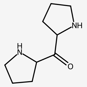 O=C(C1CCCN1)C1CCCN1